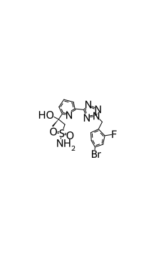 C[C@](O)(CS(N)(=O)=O)c1cccc(-c2nnn(Cc3ccc(Br)cc3F)n2)n1